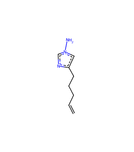 C=CCCCc1cn(N)cn1